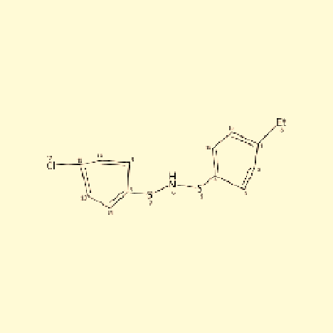 CCc1ccc(SNSc2ccc(Cl)cc2)cc1